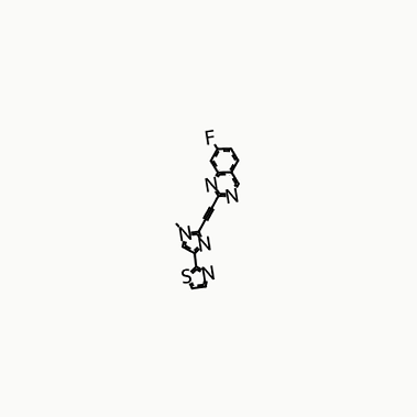 Cn1cc(-c2nccs2)nc1C#Cc1ncc2ccc(F)cc2n1